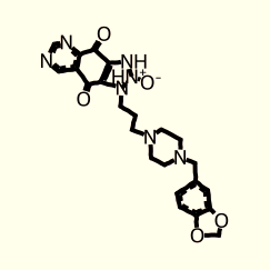 O=C1C2=C(N[NH+]([O-])N2CCCN2CCN(Cc3ccc4c(c3)OCO4)CC2)C(=O)c2ncncc21